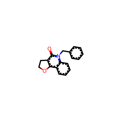 O=c1c2c(c3ccccc3n1Cc1ccccc1)OCC2